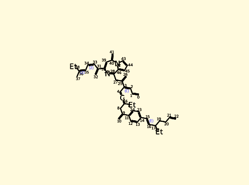 C=C/C=C(\C=C=C(CC)CC(=C)c1ccc(/C=C/C(CC)CCC=C)cc1)C(=C)CC1=NC(C(=C)/C=C\C=C(\C)CC)=CC(=C)n2cccc21